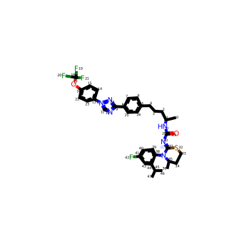 CC(CCCc1ccc(-c2ncn(-c3ccc(OC(F)(F)F)cc3)n2)cc1)NC(=O)/N=C1\SCCC(C)N1c1ccc(F)cc1C(C)C